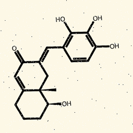 C[C@]12C/C(=C\c3ccc(O)c(O)c3O)C(=O)C=C1CCC[C@@H]2O